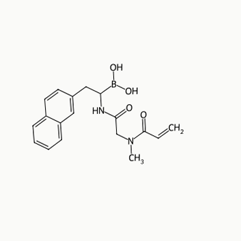 C=CC(=O)N(C)CC(=O)NC(Cc1ccc2ccccc2c1)B(O)O